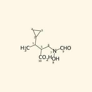 CC(C1CC1)C(CN(O)C=O)C(=O)O